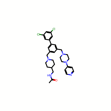 CC(=O)NCC1CCN(Cc2cc(CN3CCN(c4ccncc4)CC3)cc(-c3cc(Cl)cc(Cl)c3)c2)CC1